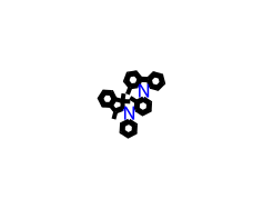 CC1=C(N(c2ccccc2)c2cccc(-n3c4ccccc4c4cccc(C)c43)c2C)C(C)(C)c2ccccc21